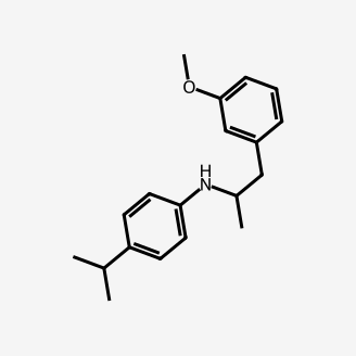 COc1cccc(CC(C)Nc2ccc(C(C)C)cc2)c1